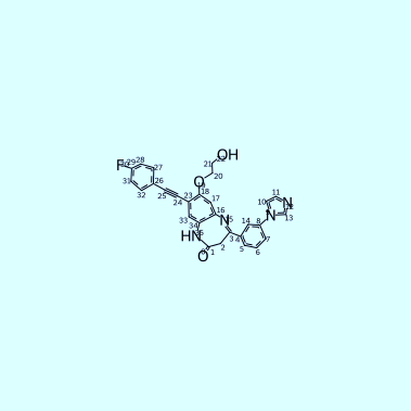 O=C1CC(c2cccc(-n3ccnc3)c2)=Nc2cc(OCCO)c(C#Cc3ccc(F)cc3)cc2N1